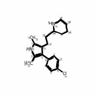 Cc1[nH]c(C)c(-c2ccc(Cl)cc2)c1CCC1CCCCN1